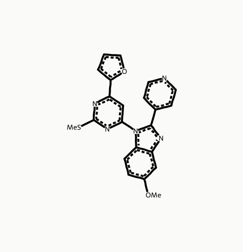 COc1ccc2c(c1)nc(-c1ccncc1)n2-c1cc(-c2ccco2)nc(SC)n1